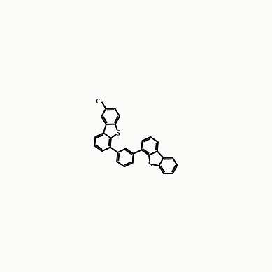 Clc1ccc2sc3c(-c4cccc(-c5cccc6c5sc5ccccc56)c4)cccc3c2c1